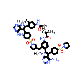 C=C(C)C(=O)Nc1ccc(-c2c(C3=CC[C@@H](S(=O)(=O)N4CCCC4)CC3)c3c(N)ncnc3n2C)c(CC2CCN(S(=O)(=O)[C@H]3CC=C(c4c(-c5ccc(NC(=O)C(C)C)cc5C)n(C)c5ncnc(N)c45)CC3)C2)c1